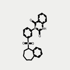 O=c1[nH]c2ccccc2c(=O)n1-c1cccc(S(=O)(=O)C2CCCCc3ccccc32)c1